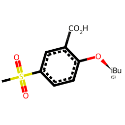 CC[C@H](C)Oc1ccc(S(C)(=O)=O)cc1C(=O)O